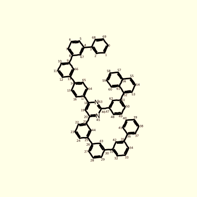 c1ccc(-c2cccc(-c3cccc(-c4ccc(-c5cc(-c6cccc(-c7cccc(-c8cccc(-c9ccccc9)c8)c7)c6)nc(-c6cccc(-c7cccc8ccccc78)c6)n5)cc4)c3)c2)cc1